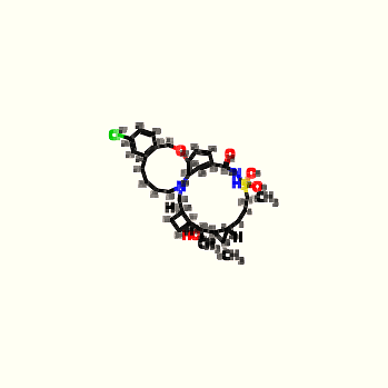 C[C@H]1[C@H]2CC[C@@H](C)S(=O)(=O)NC(=O)c3ccc4c(c3)N(CCCCc3cc(Cl)ccc3CO4)C[C@@H]3CC[C@H]3[C@@](C)(O)[C@H]12